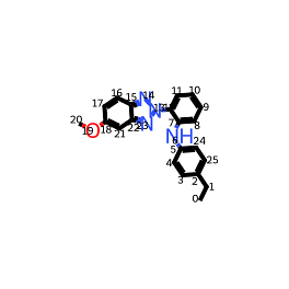 CCc1ccc(Nc2ccccc2-n2nc3ccc(OC)cc3n2)cc1